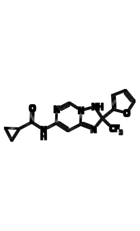 O=C(NC1=CC2=NC(c3ccco3)(C(F)(F)F)NN2C=N1)C1CC1